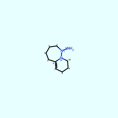 NN1CCCCC2=CCCCN21